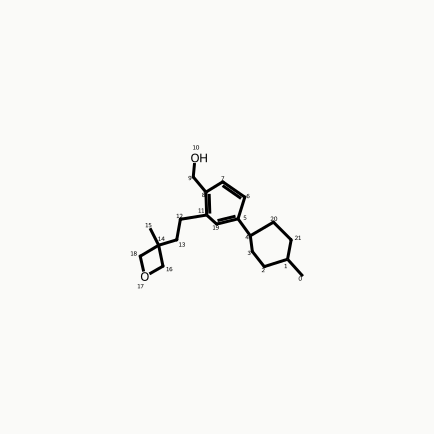 CC1CCC(c2ccc(CO)c(CCC3(C)COC3)c2)CC1